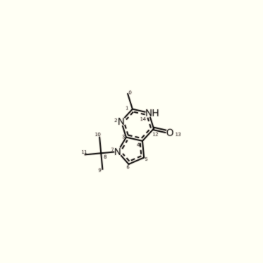 Cc1nc2c(ccn2C(C)(C)C)c(=O)[nH]1